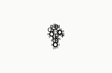 CCCCc1oc2ccc(N(Cc3ccccc3)S(C)(=O)=O)cc2c1C(=O)c1ccc(F)cc1